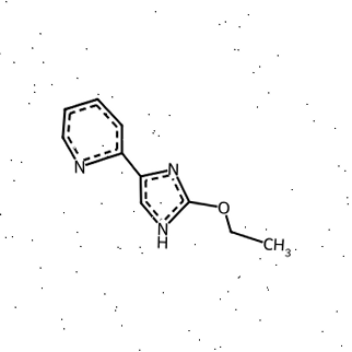 CCOc1nc(-c2ccccn2)c[nH]1